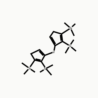 C[Si](C)(C)C1=C([Si](C)(C)C)[C]([V][C]2=CCC([Si](C)(C)C)=C2[Si](C)(C)C)=CC1